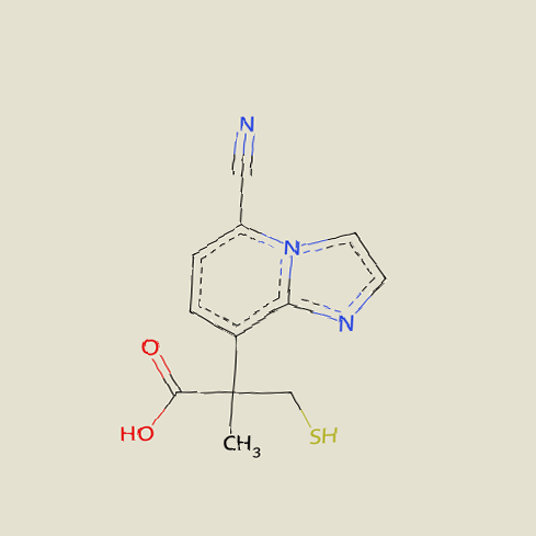 CC(CS)(C(=O)O)c1ccc(C#N)n2ccnc12